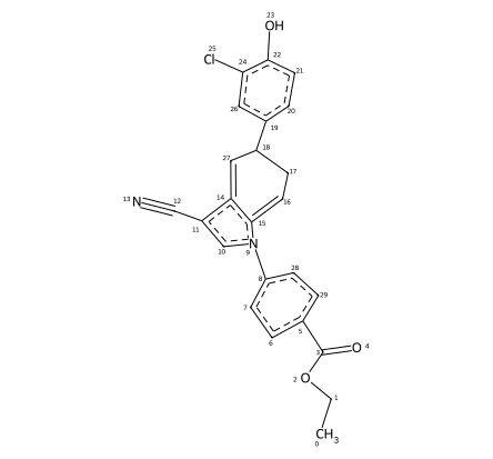 CCOC(=O)c1ccc(-n2cc(C#N)c3c2=CCC(c2ccc(O)c(Cl)c2)C=3)cc1